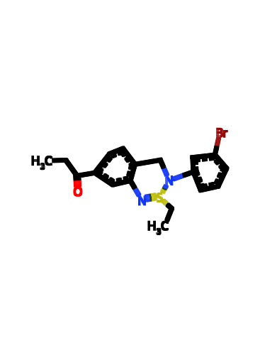 CCC(=O)c1ccc2c(c1)N=S(CC)N(c1cccc(Br)c1)C2